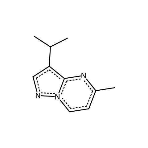 Cc1ccn2ncc(C(C)C)c2n1